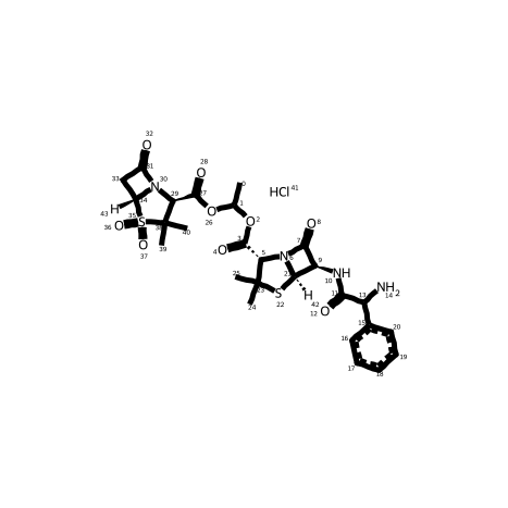 CC(OC(=O)[C@@H]1N2C(=O)[C@@H](NC(=O)C(N)c3ccccc3)[C@H]2SC1(C)C)OC(=O)[C@@H]1N2C(=O)C[C@H]2S(=O)(=O)C1(C)C.Cl